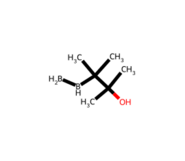 BBC(C)(C)C(C)(C)O